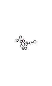 c1ccc(-c2ccc(-c3cc(-c4cccc5oc6ccc(-c7ccc8c9ccccc9c9ccccc9c8c7)cc6c45)nc(-c4ccccc4)n3)cc2)cc1